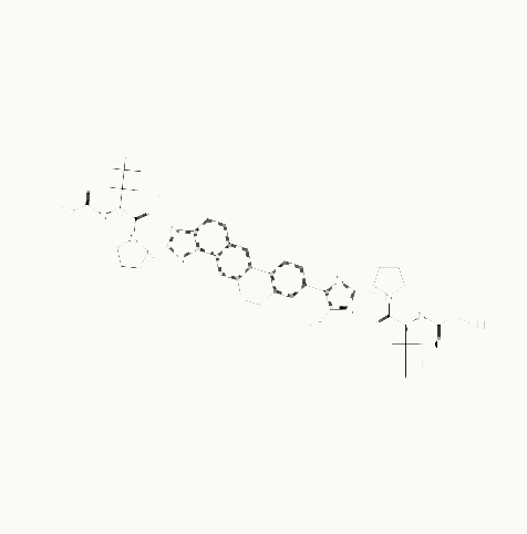 COC(=O)N[C@H](C(=O)N1CCC[C@H]1c1nc(Cl)c(-c2ccc3c(c2)COc2cc4c(ccc5nc([C@@H]6CCCN6C(=O)[C@@H](NC(=O)OC)C(C)(C)C(F)(F)F)[nH]c54)cc2-3)[nH]1)C(C)(C)C(F)(F)F